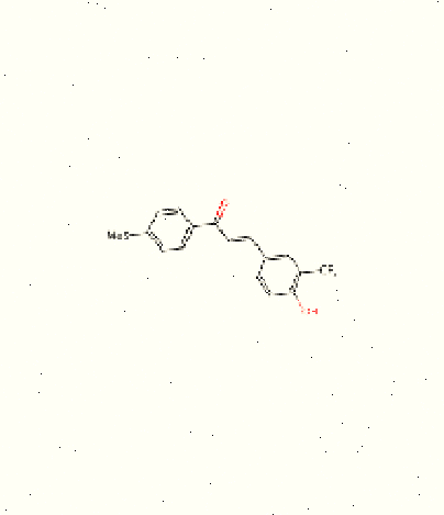 CSc1ccc(C(=O)C=Cc2ccc(O)c(C(F)(F)F)c2)cc1